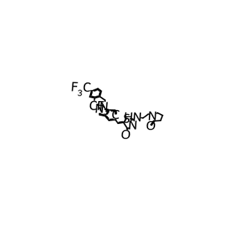 O=C1N=C(NCCN2CCCC2=O)S/C1=C\c1ccc2c(cnn2Cc2ccc(C(F)(F)F)cc2C(F)(F)F)c1